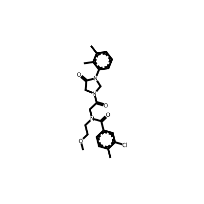 COCCN(CC(=O)N1CC(=O)N(c2cccc(C)c2C)C1)C(=O)c1ccc(C)c(Cl)c1